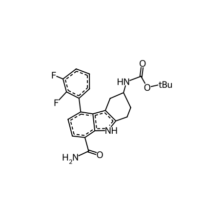 CC(C)(C)OC(=O)NC1CCc2[nH]c3c(C(N)=O)ccc(-c4cccc(F)c4F)c3c2C1